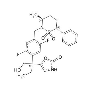 CC[C@@](CO)(c1c[nH]c(=O)o1)c1cc(F)c(CN2[C@@H](C)CC[C@H](c3ccccc3)S2(=O)=O)cc1F